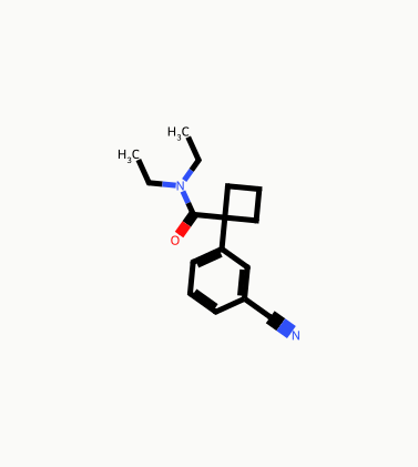 CCN(CC)C(=O)C1(c2cccc(C#N)c2)CCC1